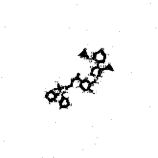 CC(CCCO[Si](c1ccccc1)(c1ccccc1)C(C)(C)C)c1ccc(Cl)c(CN2C=C(C3CC3)C(c3ccccc3OC3CC3)=CC2)c1